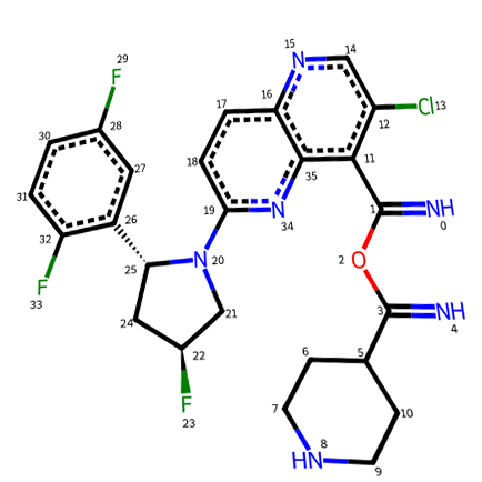 N=C(OC(=N)C1CCNCC1)c1c(Cl)cnc2ccc(N3C[C@@H](F)C[C@@H]3c3cc(F)ccc3F)nc12